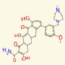 COc1ccc(-c2ccc(O)c3c2CC2CC4CC(O)=C(C(N)=O)C(=O)C4C(O)=C2C3=O)cc1CN1CCN(C)CC1